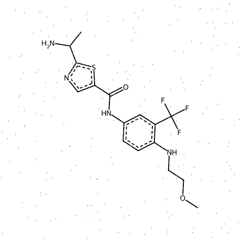 COCCNc1ccc(NC(=O)c2cnc(C(C)N)s2)cc1C(F)(F)F